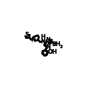 Bc1cnn2c(NCC3CCCN(CC4C=CSC4)C3)cc(-c3ccccc3O)nc12